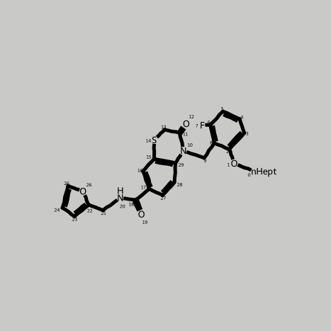 CCCCCCCOc1cccc(F)c1CN1C(=O)CSc2cc(C(=O)NCc3ccco3)ccc21